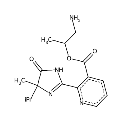 CC(CN)OC(=O)c1cccnc1C1=NC(C)(C(C)C)C(=O)N1